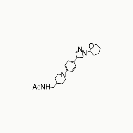 CC(=O)NCC1CCN(c2ccc(-c3cnn(C4CCCCO4)c3)cc2)CC1